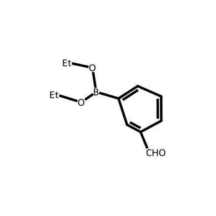 CCOB(OCC)c1cccc(C=O)c1